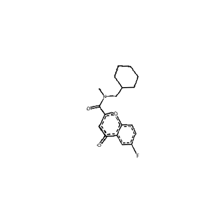 CN(CC1CCCCC1)C(=O)c1cc(=O)c2cc(F)ccc2o1